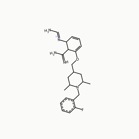 CC1CC(COC2=CC=CC(/N=C/N)C2C(=N)N)CC(C)N1Cc1ccccc1F